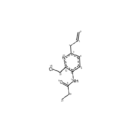 C=CCc1ccc(NC(=O)CC)c(CCl)n1